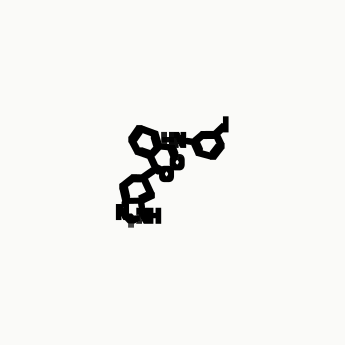 O=C(Nc1cccc(I)c1)c1ccccc1C(=O)c1ccc2n[c][nH]c2c1